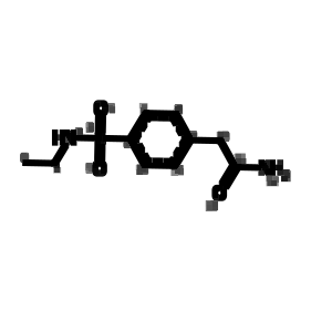 CCNS(=O)(=O)c1ccc(CC(N)=O)cc1